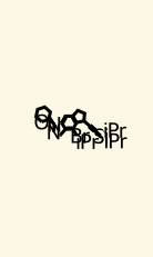 CC(C)[Si](C#CC1CCc2cc3c(cnn3C3CCCCO3)c(Br)c21)(C(C)C)C(C)C